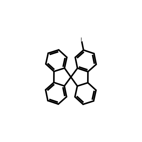 Ic1ccc2c(c1)C1(c3ccccc3-c3ccccc31)C1C=CC=CC21